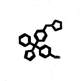 COc1ccc(C(c2ccccc2)(c2ccc(CN3CCCC3)cc2)n2ccnc2)cc1